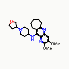 COc1cc2nc3c(c(NC4CCN(C5CCOC5)CC4)c2nc1OC)CCCCC3